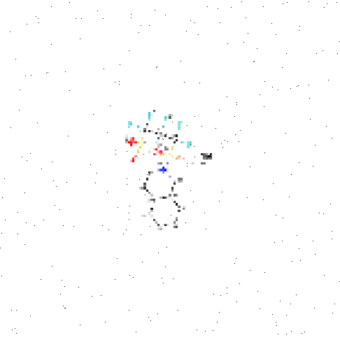 O=S(=O)(O)C(F)(F)C(F)(F)C(F)(F)S(=O)(=O)N1CCC2CCCCC2C1.[NaH]